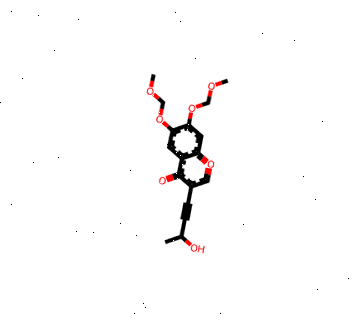 COCOc1cc2occ(C#CC(C)O)c(=O)c2cc1OCOC